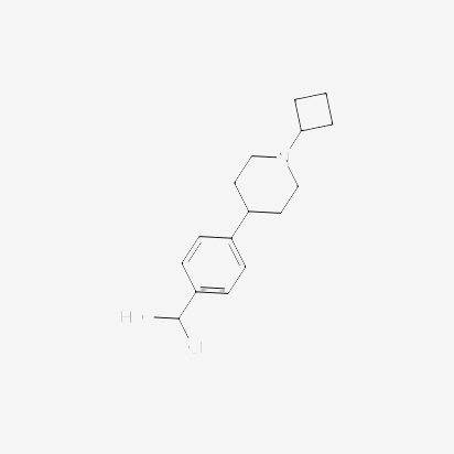 CC(C)c1ccc(C2CCN(C3CCC3)CC2)cc1